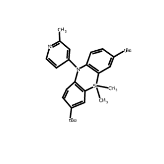 Cc1cc(N2c3ccc(C(C)(C)C)cc3[Si](C)(C)c3cc(C(C)(C)C)ccc32)ccn1